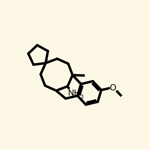 COc1ccc2c(c1)C1(C)CCC3(CCCC3)CCC(C2)C1N